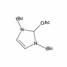 CC(=O)OC1N(C(C)(C)C)C=CN1C(C)(C)C